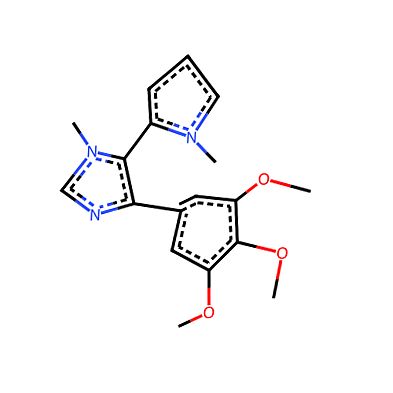 COc1cc(-c2ncn(C)c2-c2cccn2C)cc(OC)c1OC